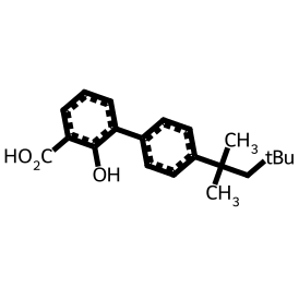 CC(C)(C)CC(C)(C)c1ccc(-c2cccc(C(=O)O)c2O)cc1